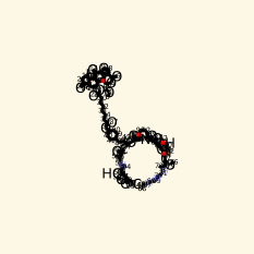 COC[C@H]1OC(=O)c2coc3c2[C@@]1(C)C1=C(C3=O)[C@@H]2CCC(=O)[C@@]2(C)C[C@H]1OC(=O)CCCCCCC(=O)OC1CCC(C[C@@H](C)[C@@H]2CC(=O)[C@H](C)/C=C(\C)[C@@H](O)[C@@H](OC)C(=O)[C@H](C)C[C@H](C)/C=C/C=C/C=C(\C)[C@@H](OC)C[C@@H]3CC[C@@H](C)[C@@](O)(O3)C(=O)C(=O)N3CCCC[C@H]3C(=O)O2)CC1